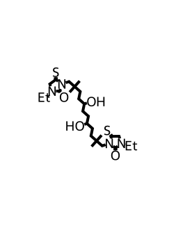 CCN1CC(=S)N(CC(C)(C)CCC(O)CCC(O)CCC(C)(C)CN2C(=O)N(CC)CC2=S)C1=O